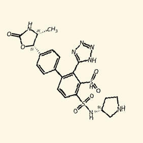 C[C@H]1NC(=O)O[C@H]1c1ccc(-c2ccc(S(=O)(=O)N[C@@H]3CCNC3)c([SH](=O)=O)c2-c2nnn[nH]2)cc1